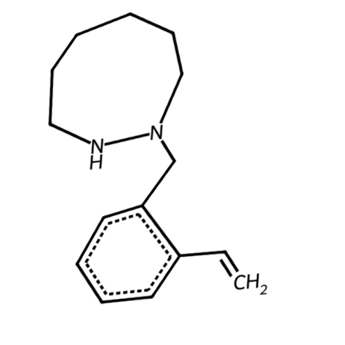 C=Cc1ccccc1CN1CCCCCCN1